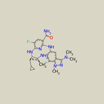 C[C@H](N)[C@@H](CC1CC1)Nc1nc(Nc2cc(F)c3c(c2)c(N(C)C)nn3C)c(C(N)=O)cc1F